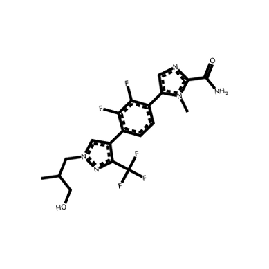 CC(CO)Cn1cc(-c2ccc(-c3cnc(C(N)=O)n3C)c(F)c2F)c(C(F)(F)F)n1